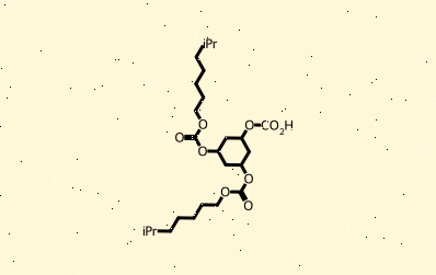 CC(C)CCCCCOC(=O)OC1CC(OC(=O)O)CC(OC(=O)OCCCCCC(C)C)C1